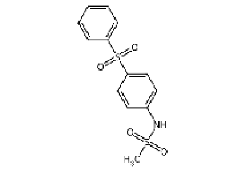 CS(=O)(=O)Nc1ccc(S(=O)(=O)c2ccccc2)cc1